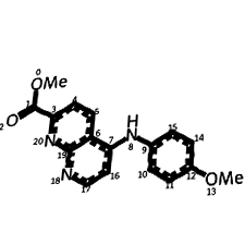 COC(=O)c1ccc2c(Nc3ccc(OC)cc3)ccnc2n1